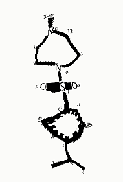 CC(C)c1ccc(S(=O)(=O)N2CCN(C)CC2)cc1